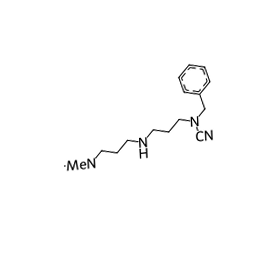 C[N]CCCNCCCN(C#N)Cc1ccccc1